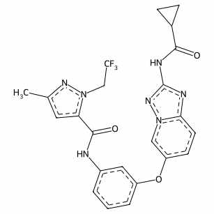 Cc1cc(C(=O)Nc2cccc(Oc3ccc4nc(NC(=O)C5CC5)nn4c3)c2)n(CC(F)(F)F)n1